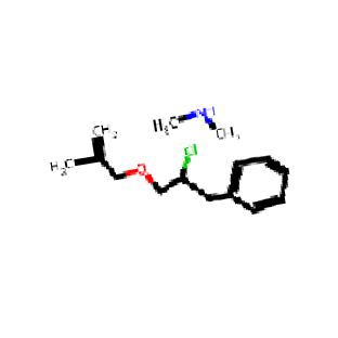 C=C(C)COCC(Cl)Cc1ccccc1.CNC